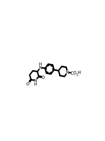 O=C1CCC(Nc2ccc(C3CCN(C(=O)O)CC3)cc2)C(=O)N1